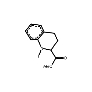 COC(=O)C1CCc2ccccc2N1I